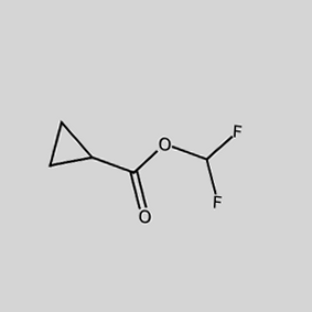 O=C(OC(F)F)C1CC1